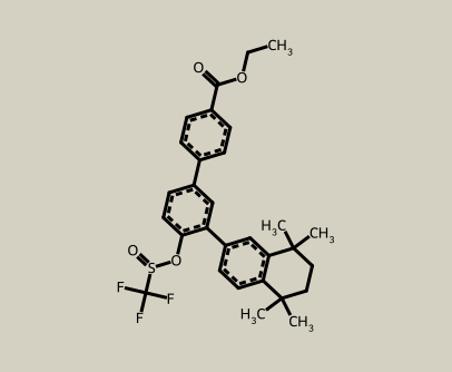 CCOC(=O)c1ccc(-c2ccc(OS(=O)C(F)(F)F)c(-c3ccc4c(c3)C(C)(C)CCC4(C)C)c2)cc1